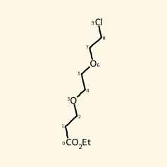 CCOC(=O)CCOCCOCCCl